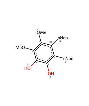 CCCCCCCCCc1c(O)c(O)c(OC)c(OC)c1CCCCCCCCC